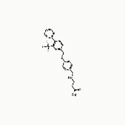 O=C(O)CCNCc1ccc(SCc2ccc(-c3ccccc3)c(C(F)(F)F)c2)cc1